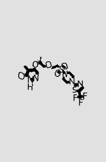 Cc1c(O[C@@H](C)COCCS(=O)(=O)N2CCN(c3ncc(C(F)(F)F)s3)CC2)cn[nH]c1=O